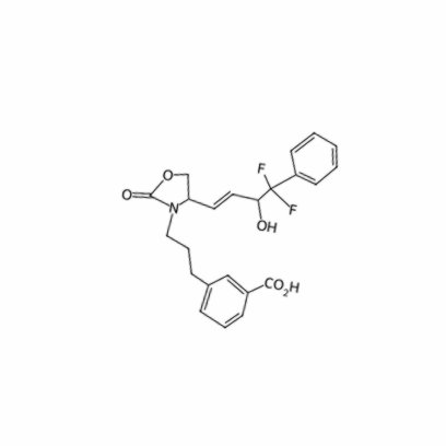 O=C(O)c1cccc(CCCN2C(=O)OCC2/C=C/C(O)C(F)(F)c2ccccc2)c1